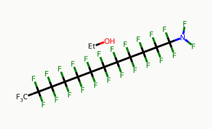 CCO.FN(F)C(F)(F)C(F)(F)C(F)(F)C(F)(F)C(F)(F)C(F)(F)C(F)(F)C(F)(F)C(F)(F)C(F)(F)C(F)(F)C(F)(F)F